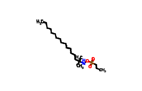 CCCCCCCCCCCCCCCC(C)(C)NOS(=O)(=O)CCC